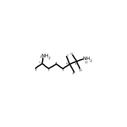 CC(N)CCCC(C)(C)C(C)(C)N